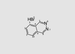 Br.c1ccc2cnncc2c1